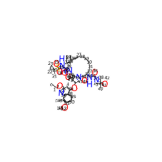 CCOc1cc(O[C@@H]2C[C@H]3C(=O)N[C@]4(C(=O)NS(=O)(=O)C5(C)CC5)C[C@H]4/C=C\CCCCC[C@H](NC(=O)N4CC(C)(OC)C4)C(=O)N3C2)c2ccc(OC)c(C)c2n1